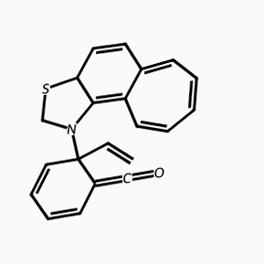 C=CC1(N2CSC3C=CC4=CC=CC=CC4=C32)C=CC=CC1=C=O